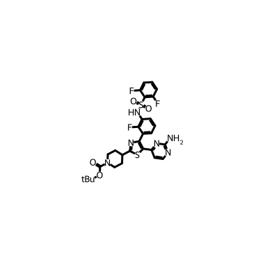 CC(C)(C)OC(=O)N1CCC(c2nc(-c3cccc(NS(=O)(=O)c4c(F)cccc4F)c3F)c(-c3ccnc(N)n3)s2)CC1